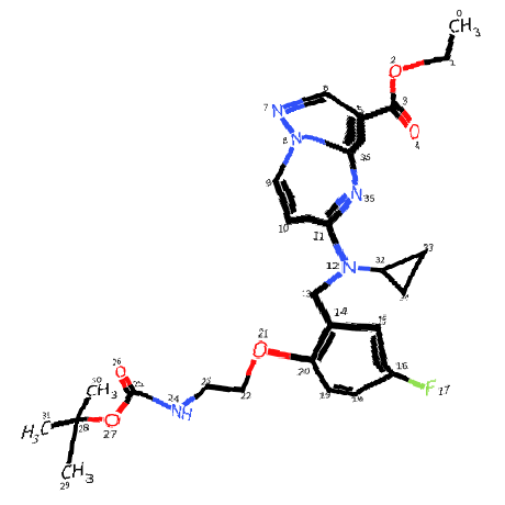 CCOC(=O)c1cnn2ccc(N(Cc3cc(F)ccc3OCCNC(=O)OC(C)(C)C)C3CC3)nc12